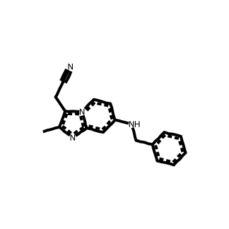 Cc1nc2cc(NCc3ccccc3)ccn2c1CC#N